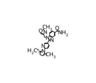 C=C[C@H]1CC[C@H](C)N1c1ccc(-c2nc3cc(C(N)=O)ccc3n2Cc2coc(C)n2)cn1